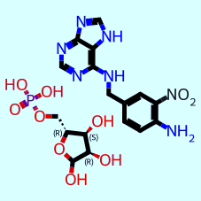 Nc1ccc(CNc2ncnc3nc[nH]c23)cc1[N+](=O)[O-].O=P(O)(O)OC[C@H]1OC(O)[C@H](O)[C@@H]1O